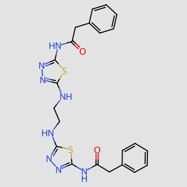 O=C(Cc1ccccc1)Nc1nnc(NCCNc2nnc(NC(=O)Cc3ccccc3)s2)s1